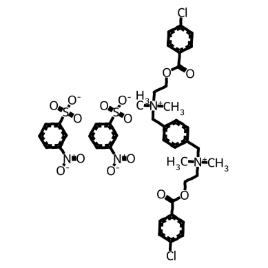 C[N+](C)(CCOC(=O)c1ccc(Cl)cc1)Cc1ccc(C[N+](C)(C)CCOC(=O)c2ccc(Cl)cc2)cc1.O=[N+]([O-])c1cccc(S(=O)(=O)[O-])c1.O=[N+]([O-])c1cccc(S(=O)(=O)[O-])c1